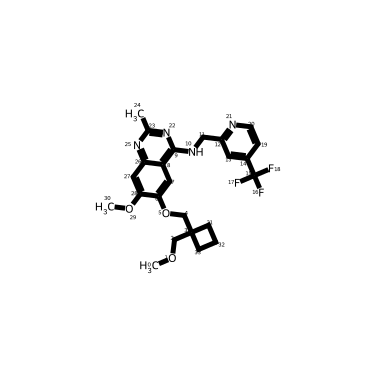 COCC1(COc2cc3c(NCc4cc(C(F)(F)F)ccn4)nc(C)nc3cc2OC)CCC1